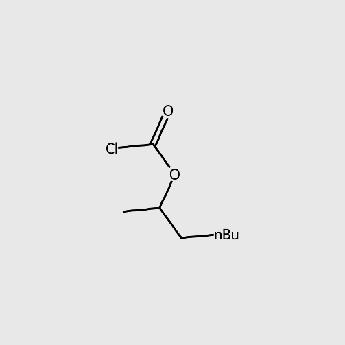 CCCCCC(C)OC(=O)Cl